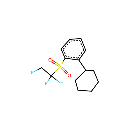 O=S(=O)(c1ccccc1C1CCCCC1)C(F)(F)CF